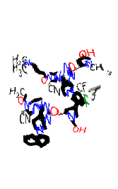 C=CC(=O)N1CCN(c2nc(OC[C@@H]3CC(c4cc(F)c(C(F)(F)F)c(N5CCc6c(nc(OC[C@@H]7C[C@@H](O)CN7C)nc6N6CCN(C(=O)/C=C/CN(C)C)[C@@H](CC#N)C6)C5)c4)CN3CCO)nc3c2CCN(c2cccc4ccccc24)C3)C[C@@H]1CC#N